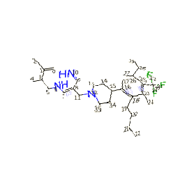 C=C(C)C(C)CN/C=C(\C=N)CN1CCC(/C(C)=C(CCCC)/C(C)=C(\C(C)CC)C(F)(F)F)CC1